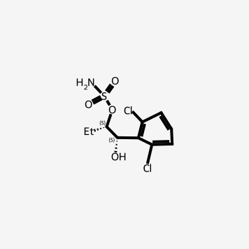 CC[C@H](OS(N)(=O)=O)[C@@H](O)c1c(Cl)cccc1Cl